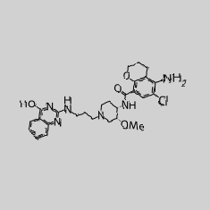 CO[C@@H]1CN(CCCNc2nc(O)c3ccccc3n2)CC[C@@H]1NC(=O)c1cc(Cl)c(N)c2c1OCCC2